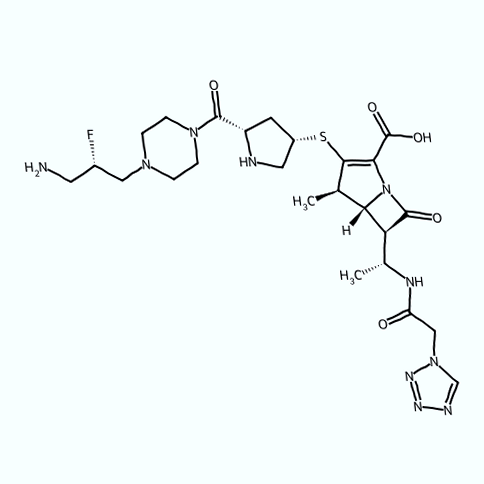 C[C@@H](NC(=O)Cn1cnnn1)[C@@H]1C(=O)N2C(C(=O)O)=C(S[C@@H]3CN[C@H](C(=O)N4CCN(C[C@@H](F)CN)CC4)C3)[C@H](C)[C@@H]12